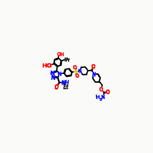 CCNC(=O)c1nnc(-c2cc(C(C)C)c(O)cc2O)n1-c1ccc(S(=O)(=O)N2CCC(C(=O)N3CCC(COC(N)=O)CC3)CC2)cc1